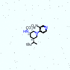 CC([C@H]1C[C@H](NC(=O)O)CN(c2ccncc2[N+](=O)[O-])C1)C(C)(C)C